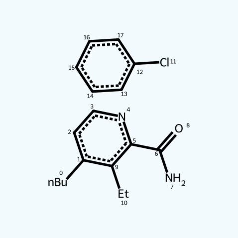 CCCCc1ccnc(C(N)=O)c1CC.Clc1ccccc1